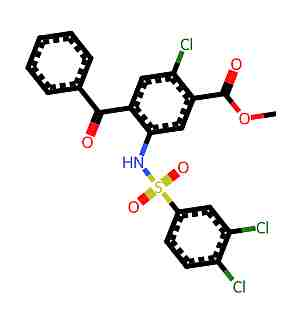 COC(=O)c1cc(NS(=O)(=O)c2ccc(Cl)c(Cl)c2)c(C(=O)c2ccccc2)cc1Cl